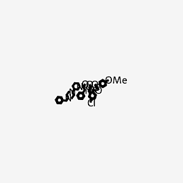 COc1ccc(S(=O)(=O)n2c(=O)n(C(C(=O)N3CCCC(N4CCN(Cc5ccccc5)CC4)C3)c3ccccc3)c3cc(Cl)ccc32)cc1